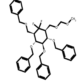 COCOC[C@H]1[C@H](OCc2ccccc2)[C@@H](OCc2ccccc2)[C@H](OCc2ccccc2)[C@@H](COCc2ccccc2)C1(F)F